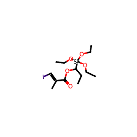 CCO[Si](OCC)(OCC)C(CC)OC(=O)C(C)=CI